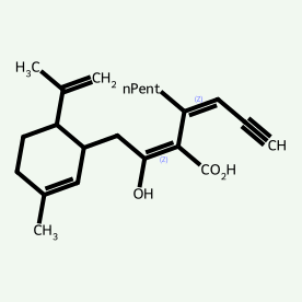 C#C/C=C(CCCCC)\C(C(=O)O)=C(\O)CC1C=C(C)CCC1C(=C)C